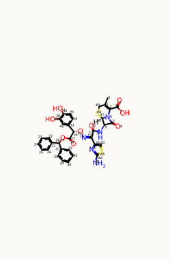 CC1=C(C(=O)O)N2C(=O)[C@@H](NC(=O)/C(=N\O[C@H](C(=O)OC(c3ccccc3)c3ccccc3)c3ccc(O)c(O)c3)c3csc(N)n3)[C@H]2SC1